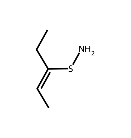 C/C=C(/CC)SN